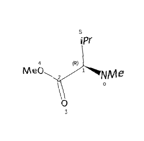 CN[C@@H](C(=O)OC)C(C)C